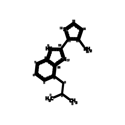 CC(C)Cc1cccc2[nH]c(-c3sccc3N)nc12